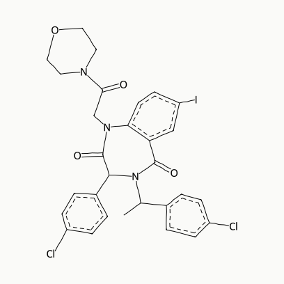 CC(c1ccc(Cl)cc1)N1C(=O)c2cc(I)ccc2N(CC(=O)N2CCOCC2)C(=O)C1c1ccc(Cl)cc1